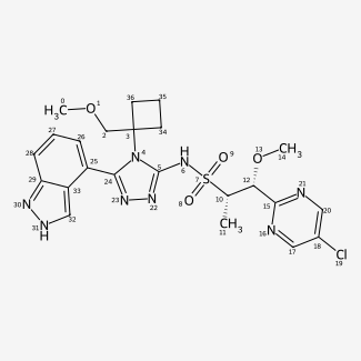 COCC1(n2c(NS(=O)(=O)[C@@H](C)[C@H](OC)c3ncc(Cl)cn3)nnc2-c2cccc3n[nH]cc23)CCC1